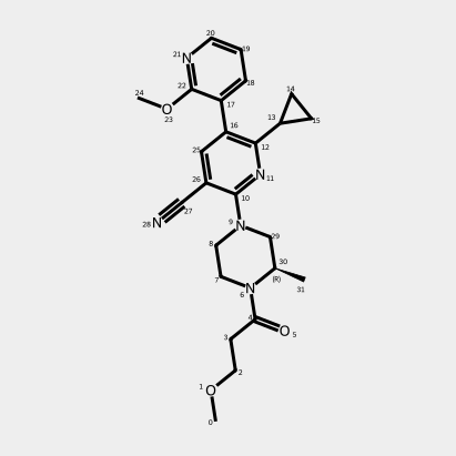 COCCC(=O)N1CCN(c2nc(C3CC3)c(-c3cccnc3OC)cc2C#N)C[C@H]1C